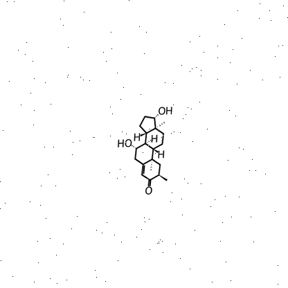 C[C@@H]1C[C@@]2(C)C(=CC1=O)C[C@H](O)[C@H]1[C@@H]3CC[C@H](O)[C@@]3(C)CC[C@@H]12